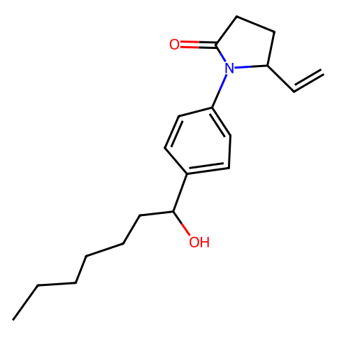 C=CC1CCC(=O)N1c1ccc(C(O)CCCCCC)cc1